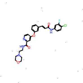 O=C(C=Cc1cccc(Oc2ccnc(C(=O)NCCN3CCOCC3)c2)c1)Nc1ccc(Cl)c(F)c1